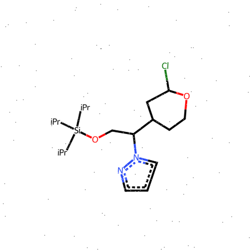 CC(C)[Si](OCC(C1CCOC(Cl)C1)n1cccn1)(C(C)C)C(C)C